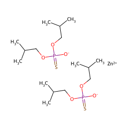 CC(C)COP([O-])(=S)OCC(C)C.CC(C)COP([O-])(=S)OCC(C)C.[Zn+2]